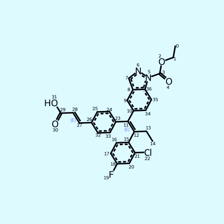 CCOC(=O)n1ncc2cc(/C(=C(\CC)c3ccc(F)cc3Cl)c3ccc(/C=C/C(=O)O)cc3)ccc21